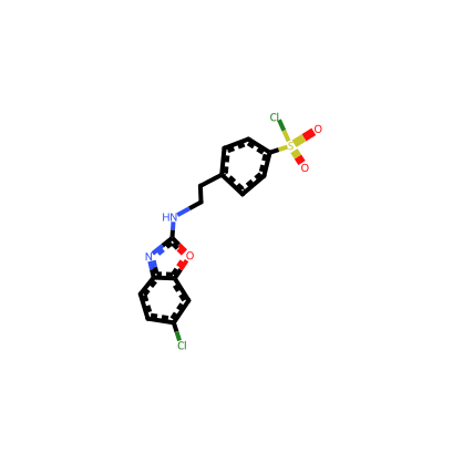 O=S(=O)(Cl)c1ccc(CCNc2nc3ccc(Cl)cc3o2)cc1